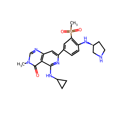 Cn1cnc2cc(-c3ccc(N[C@H]4CCNC4)c(S(C)(=O)=O)c3)nc(NC3CC3)c2c1=O